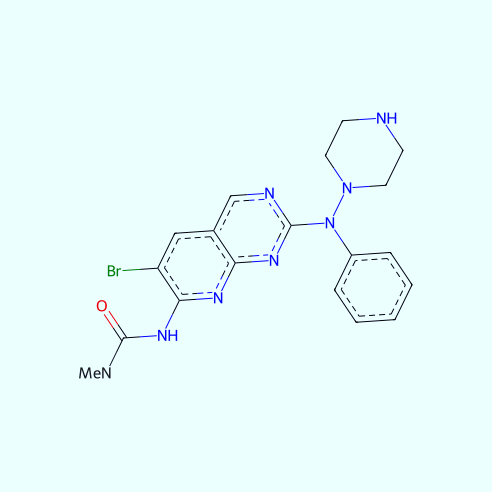 CNC(=O)Nc1nc2nc(N(c3ccccc3)N3CCNCC3)ncc2cc1Br